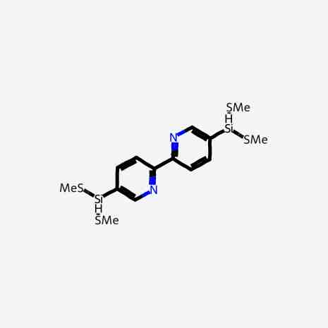 CS[SiH](SC)c1ccc(-c2ccc([SiH](SC)SC)cn2)nc1